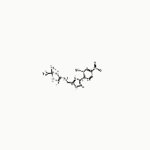 Cc1cc([N+](=O)[O-])cnc1-c1noc(CNC(=O)OC(C)(C)C)n1